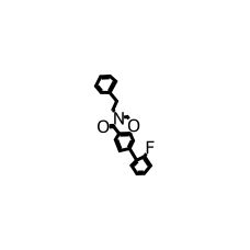 O=C1c2ccc(-c3ccccc3F)cc2OCN1CCc1ccccc1